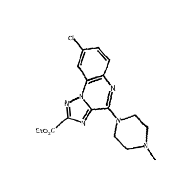 CCOC(=O)c1nc2c(N3CCN(C)CC3)nc3ccc(Cl)cc3n2n1